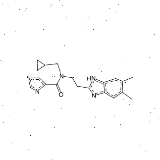 Cc1cc2nc(CCN(CC3CC3)C(=O)c3cscn3)[nH]c2cc1C